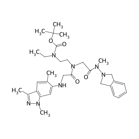 CCN(CCN(CC(=O)N(C)N1Cc2ccccc2C1)C(=O)CNc1cc2c(cc1C)c(C)nn2C)C(=O)OC(C)(C)C